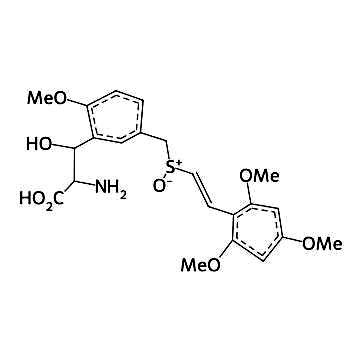 COc1cc(OC)c(C=C[S+]([O-])Cc2ccc(OC)c(C(O)C(N)C(=O)O)c2)c(OC)c1